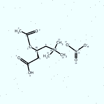 CC(=O)O[C@H](CC(=O)O)C[N+](C)(C)C.O=[N+]([O-])[O-]